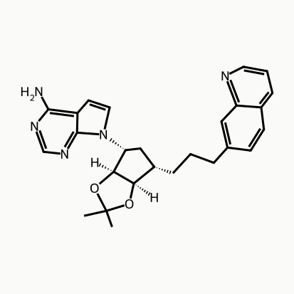 CC1(C)O[C@@H]2[C@@H](CCCc3ccc4cccnc4c3)C[C@@H](n3ccc4c(N)ncnc43)[C@@H]2O1